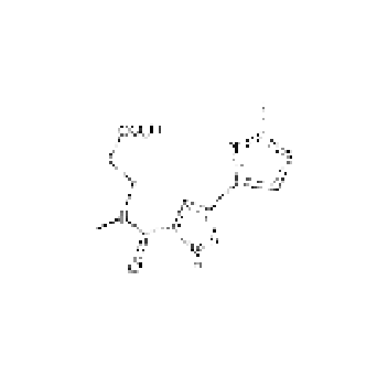 Cc1nc(-c2c[nH]c(C(=O)N(C)CCC(=O)O)c2)cs1